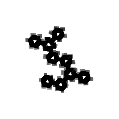 c1ccc(-c2cccc(-c3cc(-c4ccccc4)nc(-c4cncc(-c5cccc(-c6nc(-c7ccccc7)nc(-c7ccccc7)n6)c5)c4)c3)c2)cc1